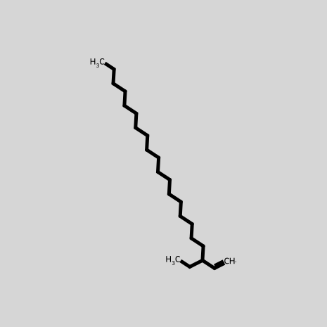 [CH]=CC(CC)CCCCCCCCCCCCCCCCCC